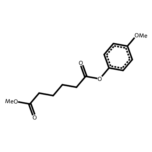 COC(=O)CCCCC(=O)Oc1ccc(OC)cc1